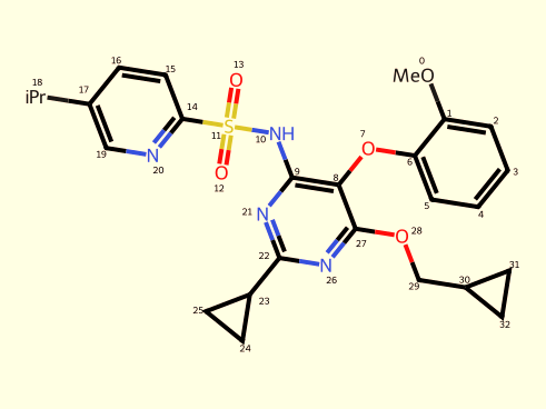 COc1ccccc1Oc1c(NS(=O)(=O)c2ccc(C(C)C)cn2)nc(C2CC2)nc1OCC1CC1